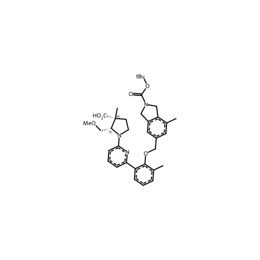 COC[C@H]1N(c2cccc(-c3cccc(C)c3OCc3cc(C)c4c(c3)CN(C(=O)OC(C)(C)C)C4)n2)CC[C@@]1(C)C(=O)O